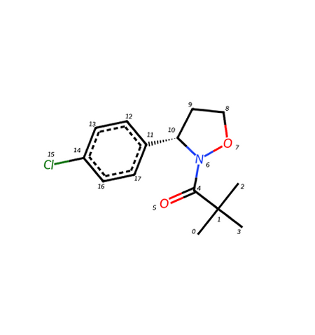 CC(C)(C)C(=O)N1OCC[C@H]1c1ccc(Cl)cc1